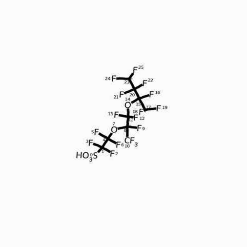 O=S(=O)(O)C(F)(F)C(F)(F)OC(F)(C(F)(F)F)C(F)(F)OC(F)([C](F)F)C(F)(F)[C](F)F